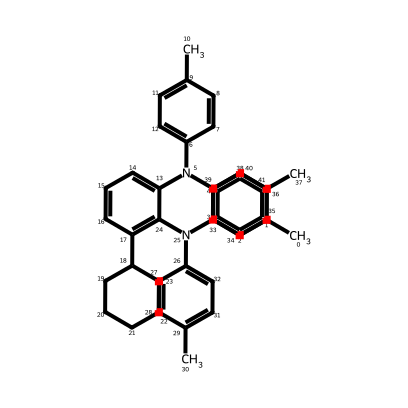 Cc1ccc(N(c2ccc(C)cc2)c2cccc(C3CCCCC3)c2N(c2ccc(C)cc2)c2ccc(C)cc2)cc1